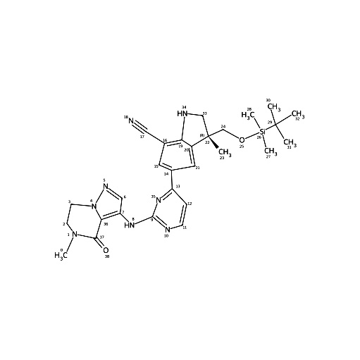 CN1CCn2ncc(Nc3nccc(-c4cc(C#N)c5c(c4)[C@@](C)(CO[Si](C)(C)C(C)(C)C)CN5)n3)c2C1=O